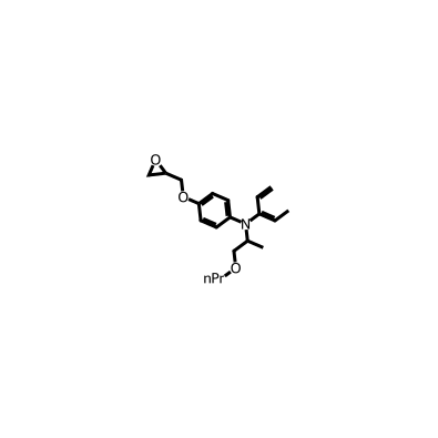 C=C/C(=C\C)N(c1ccc(OCC2CO2)cc1)C(C)COCCC